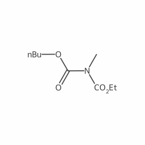 CCCCOC(=O)N(C)C(=O)OCC